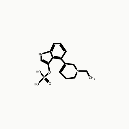 CCN1CCC=C(c2cccc3[nH]cc(OP(=O)(O)O)c23)C1